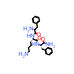 NCCCC[C@H](NC(=O)[C@@H](N)Cc1ccccc1)C(=O)N[C@@H](Cc1ccccc1)C(N)=O